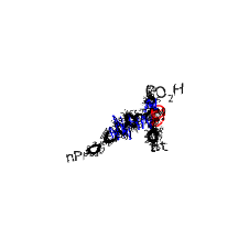 CCC[C@H]1CC[C@H](C2CCN(c3cnc(-c4ccc(C[C@H](NC(=O)c5ccc(CC)cc5)C(=O)N5CC(C(=O)O)C5)cc4)nc3)CC2)CC1